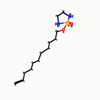 C=CCCCCCCCCCOP1(=O)NCCN1